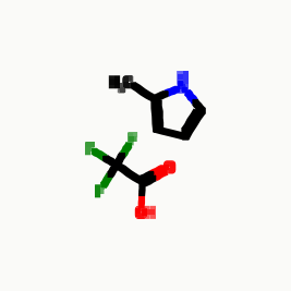 Cc1ccc[nH]1.O=C(O)C(F)(F)F